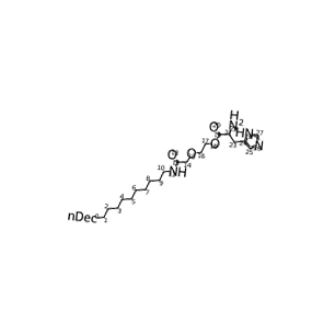 CCCCCCCCCCCCCCCCCCCCNC(=O)COCCOC(=O)C(N)Cc1cnc[nH]1